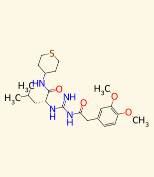 COc1ccc(CC(=O)NC(=N)N[C@H](CC(C)C)C(=O)NC2CCSCC2)cc1OC